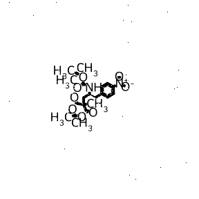 CC(C)(C)OC(=O)N[C@@H](Cc1ccc([N+](=O)[O-])cc1)CC1(C)C(=O)OC(C)(C)OC1=O